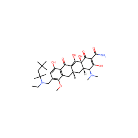 CCN(Cc1cc(O)c2c(c1OC)C[C@H]1C[C@H]3[C@H](N(C)C)C(O)=C(C(N)=O)C(=O)[C@@]3(O)C(O)=C1C2=O)C(C)(C)CC(C)(C)C